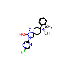 CN(C)[C@]1(c2ccccc2)CC[C@]2(CC1)CN(c1cnc(Cl)cn1)C(O)N2